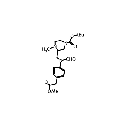 COC(=O)Cc1ccc(N(C=O)CC2CN(C(=O)OC(C)(C)C)CCN2C)cc1